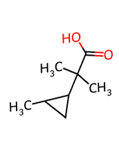 CC1CC1C(C)(C)C(=O)O